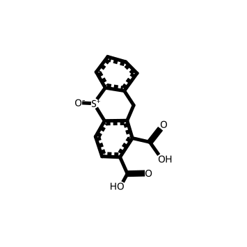 O=C(O)c1ccc2c(c1C(=O)O)Cc1ccccc1[S+]2[O-]